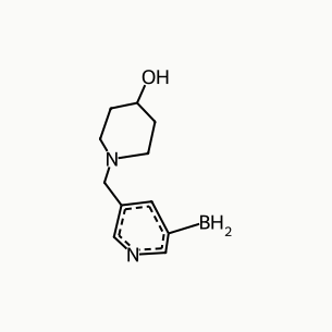 Bc1cncc(CN2CCC(O)CC2)c1